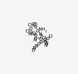 CC(=O)N1CCN(c2ccc(OCC3COC(Cn4ccnc4)(c4ccc(Cl)cc4Cl)O3)cc2)CC1.CC(C)(C(=O)c1cccnc1)c1cccnc1.CCC1(c2ccc(N)cc2)CCC(=O)NC1=O.Clc1ccc(C(c2ccccc2Cl)C(Cl)Cl)cc1